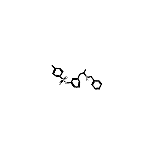 Cc1ccc(S(=O)(=O)Oc2cccc(CC(C)NCc3ccccc3)c2)cc1